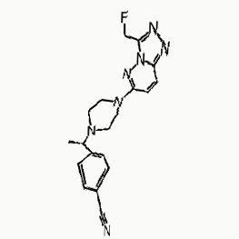 C[C@H](c1ccc(C#N)cc1)N1CCN(c2ccc3nnc(CF)n3n2)CC1